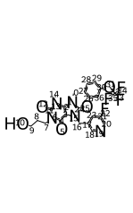 CN1c2c(c(=O)n(CCCO)c(=O)n2C)N(Cc2cncc(F)c2)C1Oc1cccc(OC(F)(F)F)c1